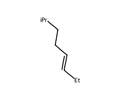 [CH2]C(C)CC/C=C/CC